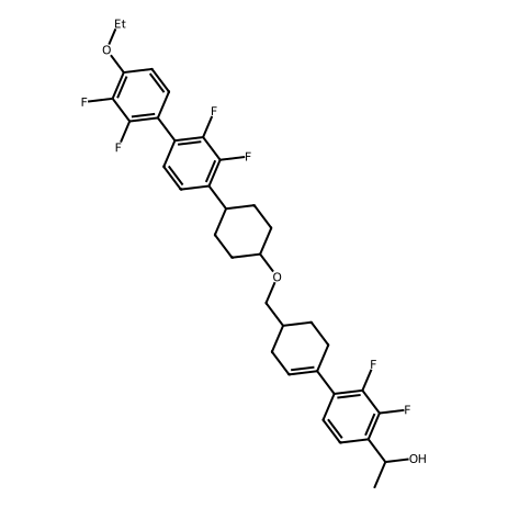 CCOc1ccc(-c2ccc(C3CCC(OCC4CC=C(c5ccc(C(C)O)c(F)c5F)CC4)CC3)c(F)c2F)c(F)c1F